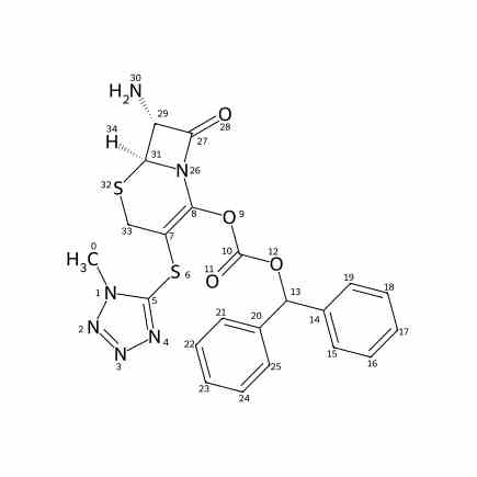 Cn1nnnc1SC1=C(OC(=O)OC(c2ccccc2)c2ccccc2)N2C(=O)[C@@H](N)[C@@H]2SC1